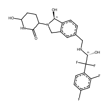 O=C1NC(O)CCC1N1Cc2cc(CN[C@H](O)C(F)(F)c3ccc(F)cc3F)ccc2[C@@H]1O